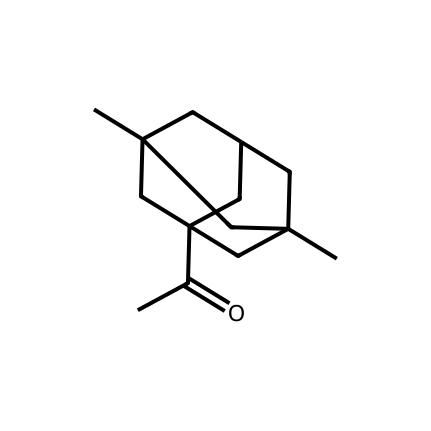 CC(=O)C12CC3CC(C)(CC(C)(C3)C1)C2